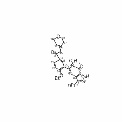 CCCc1n[nH]c2c(=O)n(C)c(-c3cc(C(=O)CN4CCOCC4)ccc3OCC)nc12